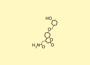 NC(=O)Cc1cc(=O)oc2cc(OCc3cccc(O)c3)ccc12